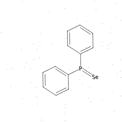 [Se]=[P](c1ccccc1)c1ccccc1